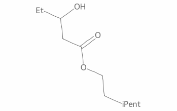 CCCC(C)CCOC(=O)CC(O)CC